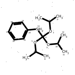 CC(C)OC(OC(C)C)(OC(C)C)[SiH2]c1ccccc1